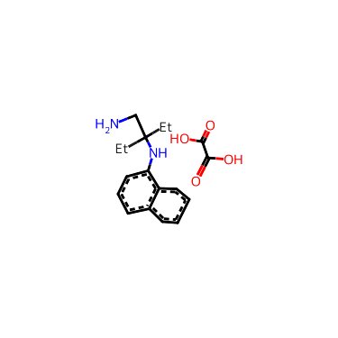 CCC(CC)(CN)Nc1cccc2ccccc12.O=C(O)C(=O)O